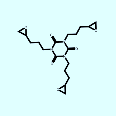 O=c1n(CCCC2CO2)c(=O)n(CCCC2CO2)c(=O)n1CCCC1CO1